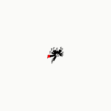 [F][Zr]([F])([F])([F])([F])([F])([F])([F])([F])([F])([F])[F]